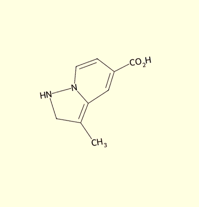 CC1=C2C=C(C(=O)O)C=CN2NC1